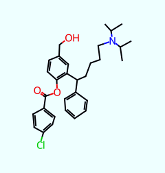 CC(C)N(CCCCC(c1ccccc1)c1cc(CO)ccc1OC(=O)c1ccc(Cl)cc1)C(C)C